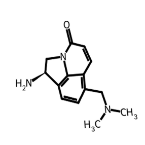 CN(C)Cc1ccc2c3c1ccc(=O)n3C[C@@H]2N